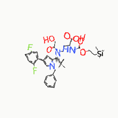 CC(C)(C)[C@H](c1cc(-c2cc(F)ccc2F)cn1Cc1ccccc1)N(CCC(NC(=O)OCC[Si](C)(C)C)C(=O)O)C(=O)CO